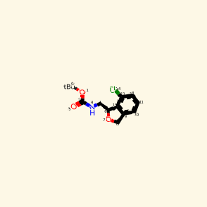 CC(C)(C)OC(=O)NCC1OCc2cccc(Cl)c21